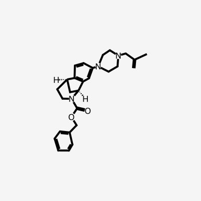 C=C(C)CN1CCN(c2ccc3c(c2)[C@@H]2C[C@H]3CCN2C(=O)OCc2ccccc2)CC1